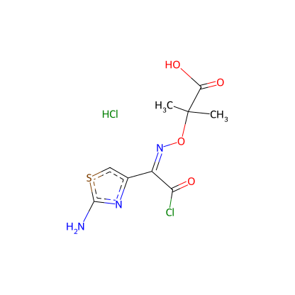 CC(C)(ON=C(C(=O)Cl)c1csc(N)n1)C(=O)O.Cl